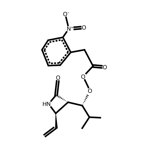 C=C[C@H]1NC(=O)[C@@H]1[C@H](OOC(=O)Cc1ccccc1[N+](=O)[O-])C(C)C